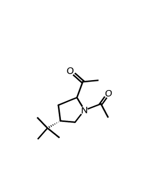 CC(=O)C1C[C@@H](C(C)(C)C)CN1C(C)=O